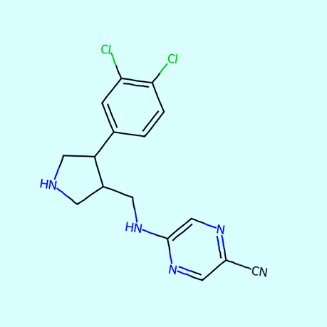 N#Cc1cnc(NCC2CNCC2c2ccc(Cl)c(Cl)c2)cn1